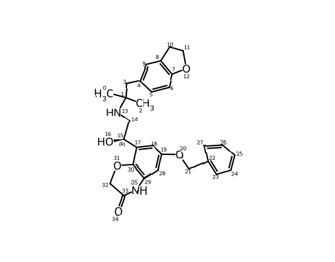 CC(C)(Cc1ccc2c(c1)CCO2)NC[C@H](O)c1cc(OCc2ccccc2)cc2c1OCC(=O)N2